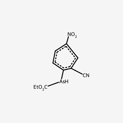 CCOC(=O)[AsH]c1ccc([N+](=O)[O-])cc1C#N